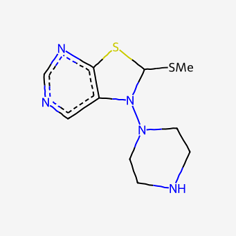 CSC1Sc2ncncc2N1N1CCNCC1